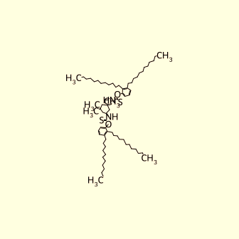 CCCCCCCCCCCCc1cccc(OC(=S)NCC2(C)CC(NC(=S)Oc3cccc(CCCCCCCCCCCC)c3CCCCCCCCCCCC)CC(C)(C)C2)c1CCCCCCCCCCCC